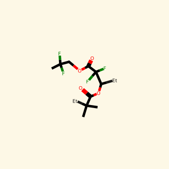 CCC(OC(=O)C(C)(C)CC)C(F)(F)C(=O)OCC(C)(F)F